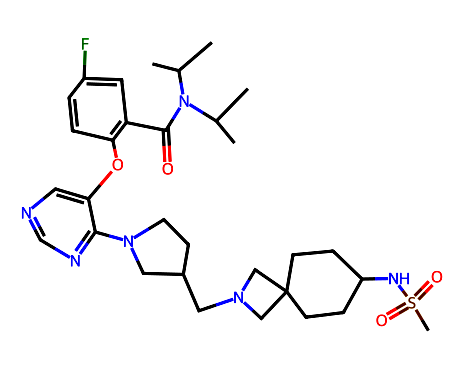 CC(C)N(C(=O)c1cc(F)ccc1Oc1cncnc1N1CCC(CN2CC3(CCC(NS(C)(=O)=O)CC3)C2)C1)C(C)C